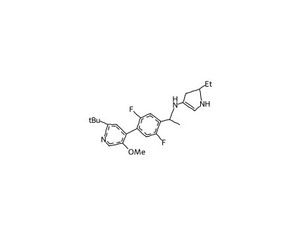 CCC1CC(NC(C)c2cc(F)c(-c3cc(C(C)(C)C)ncc3OC)cc2F)=CN1